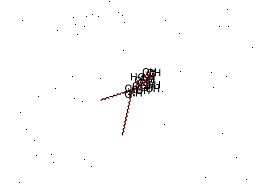 CCCCCCCCCCCCC/C=C/[C@@H](O)[C@H](CO[C@@H]1OC(CO)[C@@H](O[C@@H]2OC(CO)[C@H](O)[C@H](O[C@@H]3OC(CO)[C@@H](O)[C@H](O)C3NC(C)=O)C2O)[C@H](O)C1O)NC(=O)CCCCCCCCCCCCCCCCCCCCC